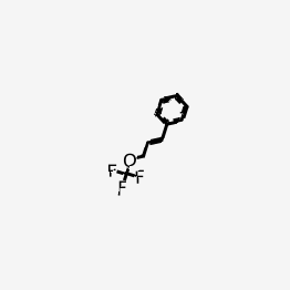 FC(F)(F)OCC=Cc1ccccc1